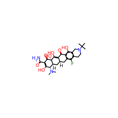 CN(C)[C@@H]1C(O)=C(C(N)=O)C(=O)[C@@]2(O)C(O)=C3C(=O)c4c(O)c5c(c(F)c4C[C@H]3C[C@@H]12)CCN(C(C)(C)C)C5